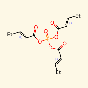 CC/C=C/C(=O)OP(=O)(OC(=O)/C=C/CC)OC(=O)/C=C/CC